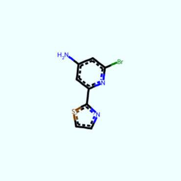 Nc1cc(Br)nc(-c2nccs2)c1